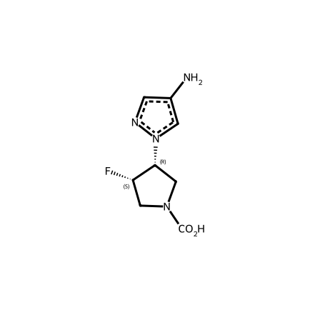 Nc1cnn([C@@H]2CN(C(=O)O)C[C@@H]2F)c1